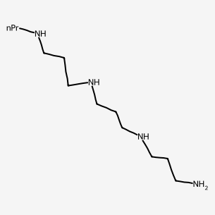 CCCNCCCNCCCNCCCN